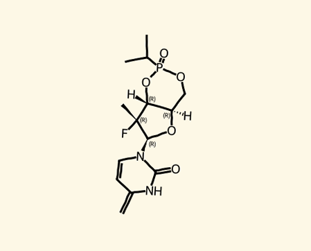 C=C1C=CN([C@@H]2O[C@@H]3COP(=O)(C(C)C)O[C@H]3[C@@]2(C)F)C(=O)N1